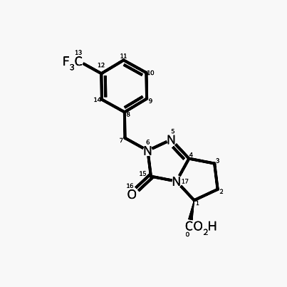 O=C(O)[C@@H]1CCc2nn(Cc3cccc(C(F)(F)F)c3)c(=O)n21